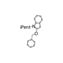 CCCC(C)n1c(OCc2ccccc2)cc2ccccc21